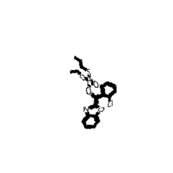 CCCSP(=O)(OCC)OC(c1nc2ccccc2o1)c1ccccc1Cl